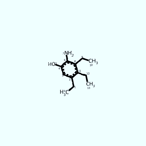 CCc1cc(O)c(N)c(CC)c1CC